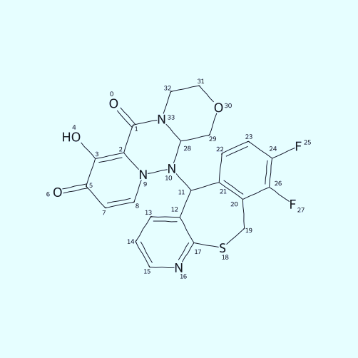 O=C1c2c(O)c(=O)ccn2N(C2c3cccnc3SCc3c2ccc(F)c3F)C2COCCN12